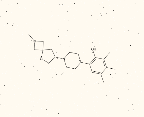 Cc1cc(C2CCN(C3COC4(C3)CN(C)C4)CC2)c(O)c(C)c1C